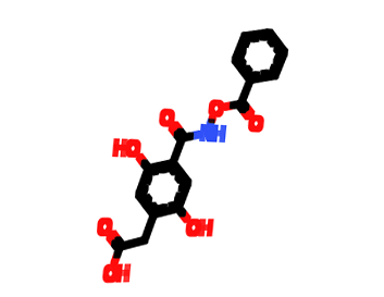 O=C(O)Cc1cc(O)c(C(=O)NOC(=O)c2ccccc2)cc1O